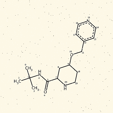 CC(C)(C)NC(=O)C1CC(OCc2ccncc2)CCN1